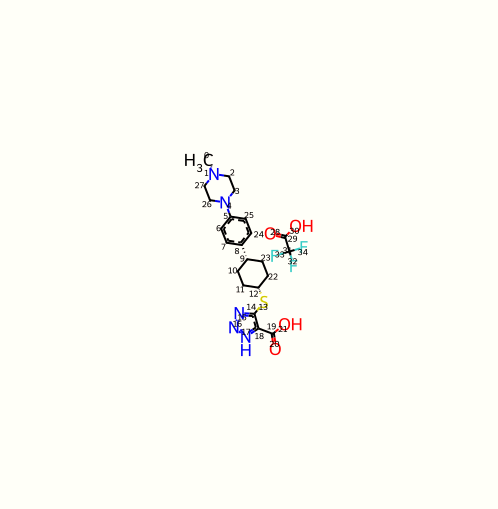 CN1CCN(c2ccc([C@H]3CC[C@@H](Sc4nn[nH]c4C(=O)O)CC3)cc2)CC1.O=C(O)C(F)(F)F